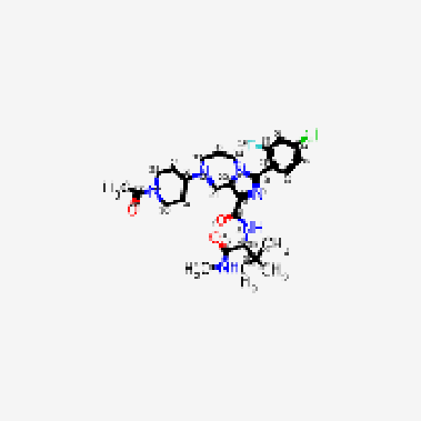 CNC(=O)[C@@H](NC(=O)c1nc(-c2ccc(Cl)cc2F)n2c1CN(C1CCN(C(C)=O)CC1)CCC2)C(C)(C)C